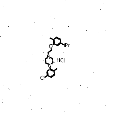 Cc1ccc(C(C)C)cc1OCCN1CCN(c2cc(Cl)ccc2C)CC1.Cl